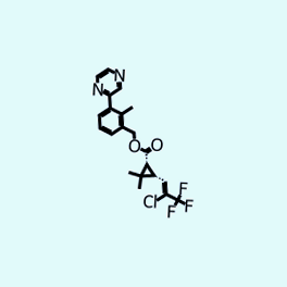 Cc1c(COC(=O)[C@@H]2[C@H](C=C(Cl)C(F)(F)F)C2(C)C)cccc1-c1cnccn1